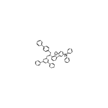 C(=C(\Cc1ccc(-c2ccccc2)cc1)c1cccc2c1oc1ccc(N(c3ccccc3)c3ccccc3)cc12)/c1cc(-c2ccccc2)cc(-c2ccccc2)c1